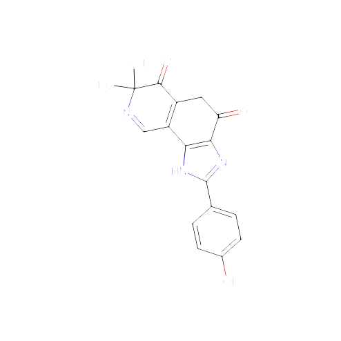 CC1(C)N=CC2=C(CC(=O)c3nc(-c4ccc(O)cc4)[nH]c32)C1=O